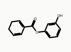 O=C(Oc1cccc(O)c1)C1=CCCC=C1